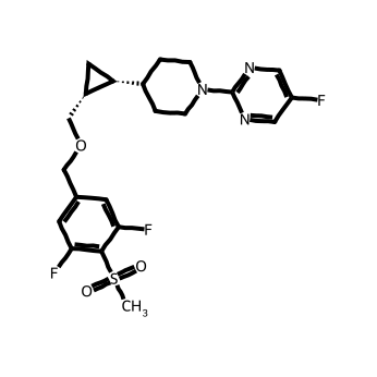 CS(=O)(=O)c1c(F)cc(COC[C@@H]2C[C@@H]2C2CCN(c3ncc(F)cn3)CC2)cc1F